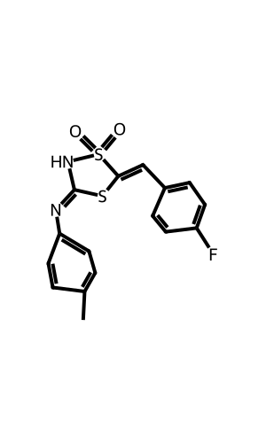 Cc1ccc(N=C2NS(=O)(=O)C(=Cc3ccc(F)cc3)S2)cc1